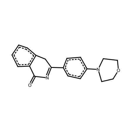 O=C1N=C(c2ccc(N3CCOCC3)cc2)Cc2ccccc21